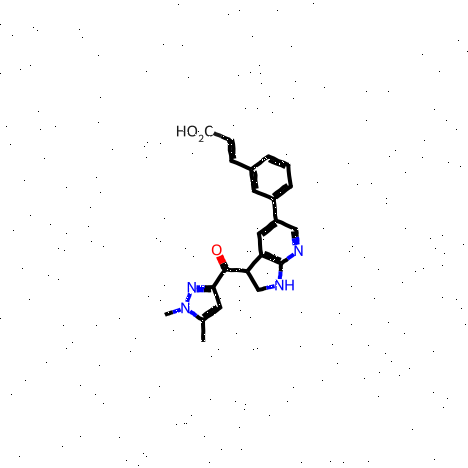 Cc1cc(C(=O)C2CNc3ncc(-c4cccc(/C=C/C(=O)O)c4)cc32)nn1C